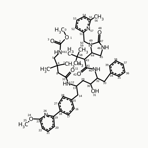 COC(=O)NCC(C)(C)CC(=O)NC(Cc1ccc(-c2cccc(OC)n2)cc1)CC(O)C(Cc1ccccc1)NC(=O)C(C1CNC(=O)N1Cc1cccc(C)n1)C(C)(C)C